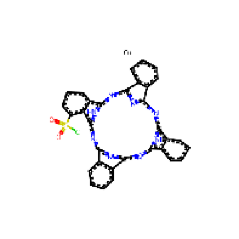 O=S(=O)(Cl)c1cccc2c3nc4nc(nc5[nH]c(nc6nc(nc([nH]3)c12)-c1ccccc1-6)c1ccccc51)-c1ccccc1-4.[Cu]